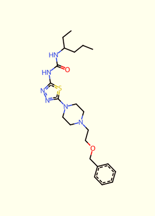 CCCC(CC)NC(=O)Nc1nnc(N2CCN(CCOCc3ccccc3)CC2)s1